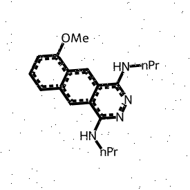 CCCNc1nnc(NCCC)c2cc3c(OC)cccc3cc12